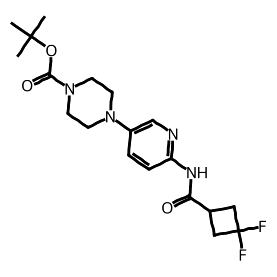 CC(C)(C)OC(=O)N1CCN(c2ccc(NC(=O)C3CC(F)(F)C3)nc2)CC1